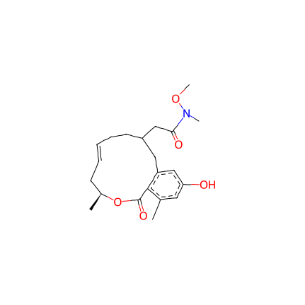 CON(C)C(=O)CC1CC/C=C/C[C@H](C)OC(=O)c2c(C)cc(O)cc2C1